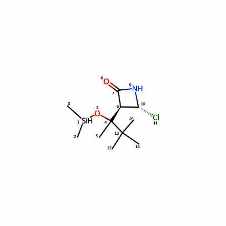 C[SiH](C)OC(C)([C@H]1C(=O)N[C@@H]1Cl)C(C)(C)C